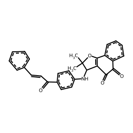 CC1(C)OC2=C(C(=O)C(=O)c3ccccc32)C1Nc1ccc(C(=O)C=Cc2ccccc2)cc1